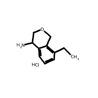 CCc1cccc2c1COCC2N.Cl